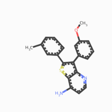 COc1cccc(-c2c(-c3cccc(C)c3)sc3c(N)ccnc23)c1